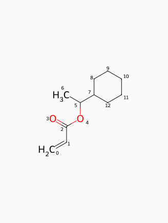 C=CC(=O)OC(C)C1CCCCC1